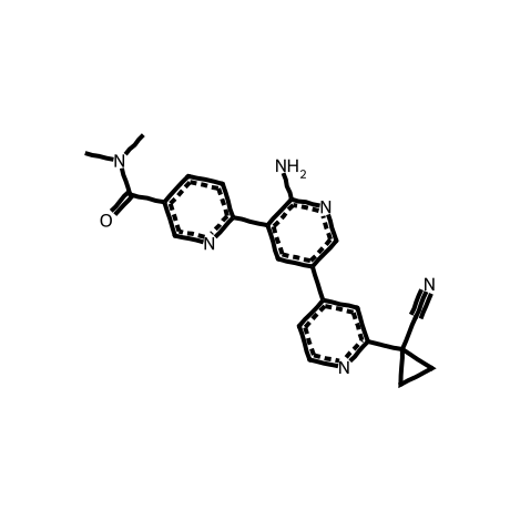 CN(C)C(=O)c1ccc(-c2cc(-c3ccnc(C4(C#N)CC4)c3)cnc2N)nc1